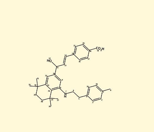 Cc1ccc(CCNc2cc(C(O)C=Cc3ccc(C(=O)O)cc3)cc3c2C(C)(C)CCC3(C)C)cc1